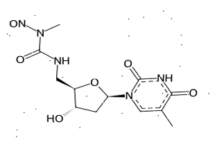 Cc1cn([C@H]2C[C@H](O)[C@@H](CNC(=O)N(C)N=O)O2)c(=O)[nH]c1=O